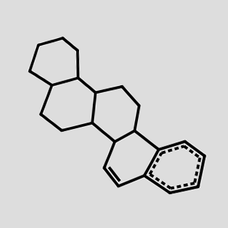 C1=CC2C(CCC3C4CCCCC4CCC23)c2ccccc21